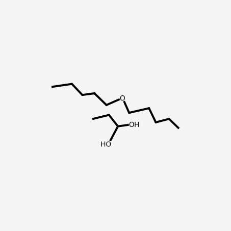 CCC(O)O.CCCCCOCCCCC